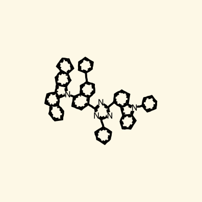 c1ccc(-c2ccc3c(-c4nc(-c5ccccc5)nc(-c5cccc6c5c5ccccc5n6-c5ccccc5)n4)ccc(-n4c5cc6ccccc6cc5c5ccc6ccccc6c54)c3c2)cc1